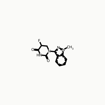 Cn1nc(N2CC(F)C(=O)NC2=O)c2ccccc21